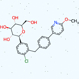 COc1ccc(-c2ccc(Cc3cc([C@@H]4O[C@H](CO)[C@@H](O)[C@H](O)[C@H]4O)ccc3Cl)cc2)cn1